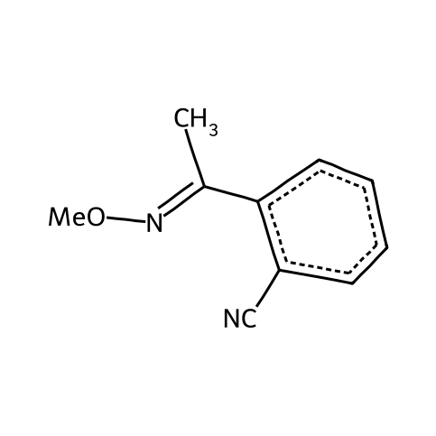 CON=C(C)c1ccccc1C#N